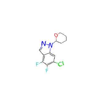 Fc1c(Cl)cc2c(cnn2C2CCCCO2)c1F